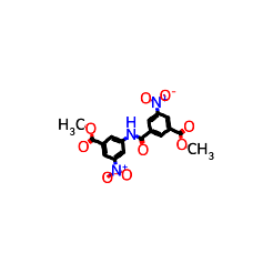 COC(=O)c1cc(NC(=O)c2cc(C(=O)OC)cc([N+](=O)[O-])c2)cc([N+](=O)[O-])c1